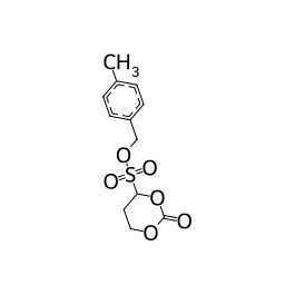 Cc1ccc(COS(=O)(=O)C2CCOC(=O)O2)cc1